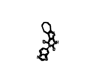 O=c1[nH]c2sc3c(c2c(=O)n1-c1ccc2ncsc2c1)CCCCC3